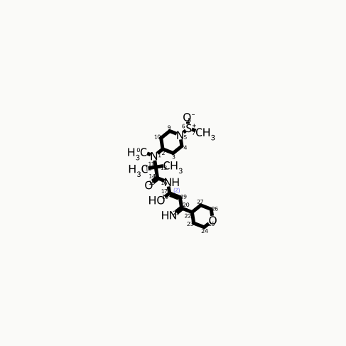 CN(C1CCN([S+](C)[O-])CC1)C(C)(C)C(=O)N/C(O)=C/C(=N)C1CCOCC1